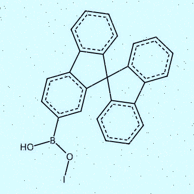 OB(OI)c1ccc2c(c1)C1(c3ccccc3-c3ccccc31)c1ccccc1-2